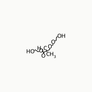 CC(C)(COCOCCO)C(=O)OCCO